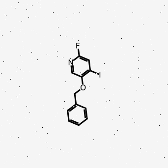 Fc1cc(I)c(OCc2ccccc2)cn1